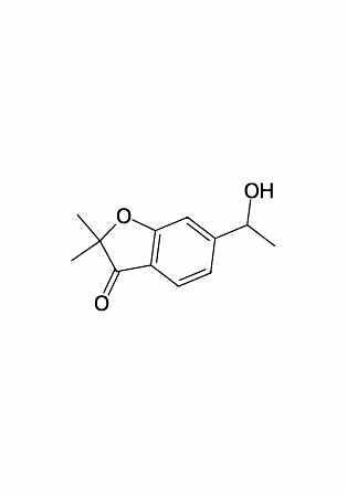 CC(O)c1ccc2c(c1)OC(C)(C)C2=O